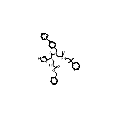 CC(C)(CNC(=O)CN(Cc1ccc(-c2ccccc2)cc1)C(=O)[C@@H](CNC(=O)OCc1ccccc1)c1c[nH]cn1)c1ccccc1